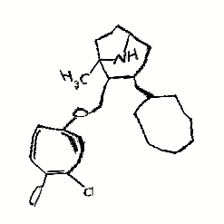 CC12CCC(C[C@@H](C3CCCCCC3)[C@H]1COc1ccc(Cl)c(Cl)c1)N2